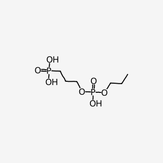 CCCOP(=O)(O)OCCCP(=O)(O)O